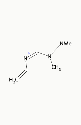 C=C/N=C\N(C)NC